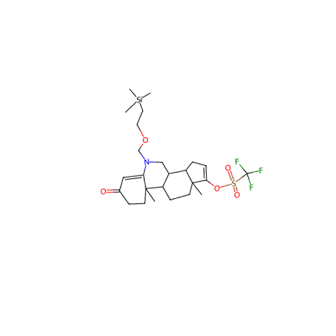 CC12CCC3C(CN(COCC[Si](C)(C)C)C4=CC(=O)CCC43C)C1CC=C2OS(=O)(=O)C(F)(F)F